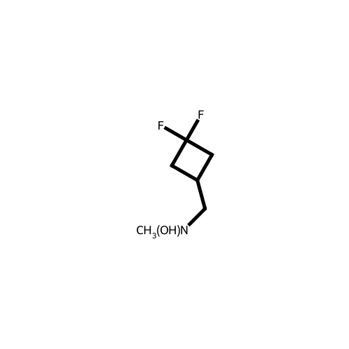 CN(O)CC1CC(F)(F)C1